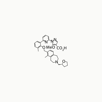 COc1c(C(=O)O)cnn1-c1cccc(-c2cccc(C)c2OCc2ccc3c(c2C)CCN(C[C@@H]2CCCO2)CC3)n1